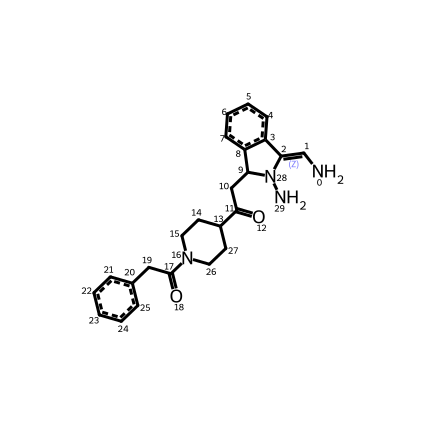 N/C=C1/c2ccccc2C(CC(=O)C2CCN(C(=O)Cc3ccccc3)CC2)N1N